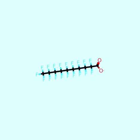 [O]C(=O)C(F)(F)C(F)(F)C(F)(F)C(F)(F)C(F)(F)C(F)(F)C(F)(F)C(F)(F)C(F)(F)F